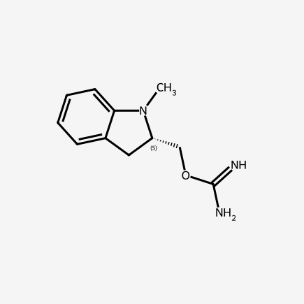 CN1c2ccccc2C[C@H]1COC(=N)N